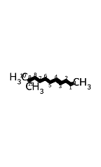 CCC/C=C/CCCCC(C)C